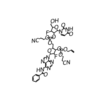 C=CCOP(OCCC#N)OC1C(COP(OCCC#N)OC2C(F)C(CO)OC2n2ccc(=O)[nH]c2=O)OC(n2cnc3c(NC(=O)c4ccccc4)ncnc32)C1F